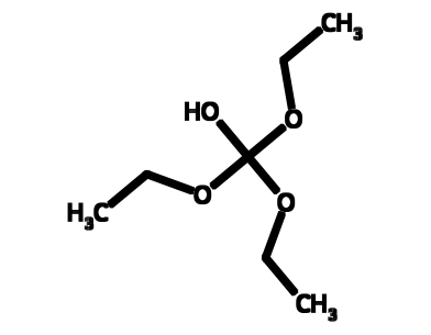 CCOC(O)(OCC)OCC